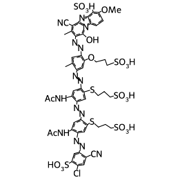 COc1ccc2c(nc3c(C#N)c(C)c(N=Nc4cc(C)c(N=Nc5cc(NC(C)=O)c(N=Nc6cc(NC(C)=O)c(N=Nc7cc(S(=O)(=O)O)c(Cl)cc7C#N)cc6SCCCS(=O)(=O)O)cc5SCCCS(=O)(=O)O)cc4OCCCS(=O)(=O)O)c(O)n32)c1S(=O)(=O)O